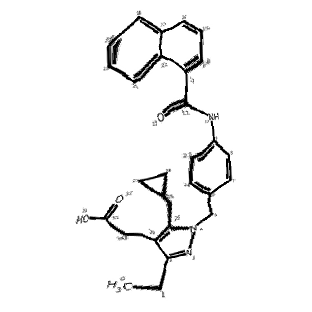 CCc1nn(Cc2ccc(NC(=O)c3cccc4ccccc34)cc2)c(C2CC2)c1CC(=O)O